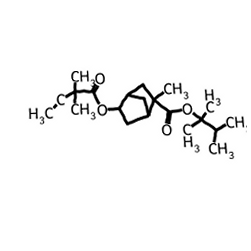 CCC(C)(C)C(=O)OC1CC2CC1CC2(C)C(=O)OC(C)(C)C(C)C